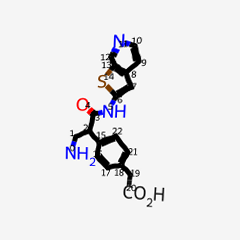 NCC(C(=O)Nc1cc2ccncc2s1)c1ccc(CC(=O)O)cc1